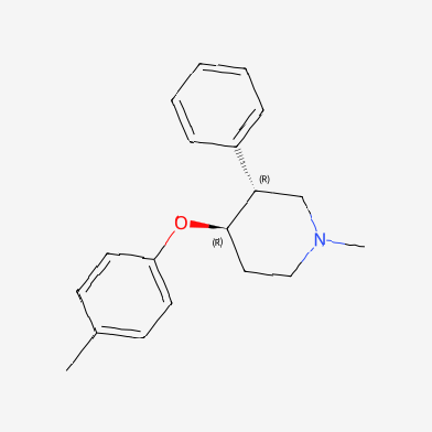 Cc1ccc(O[C@@H]2CCN(C)C[C@H]2c2ccccc2)cc1